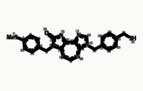 CSc1ccc(Cn2c3ncnc4c(ncn4Cc4ccc(CS)cc4)c-3nc2=O)cc1